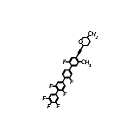 Cc1cc(-c2ccc(-c3cc(F)c(-c4cc(F)c(F)c(F)c4)c(F)c3)c(F)c2)c(F)cc1C#CC1CCC(C)CO1